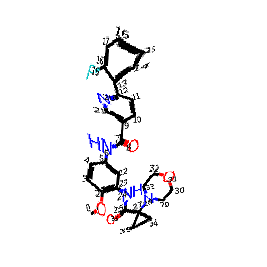 COc1ccc(NC(=O)c2ccc(-c3ccccc3F)nc2)cc1NC(=O)C1(N2CCOCC2)CC1